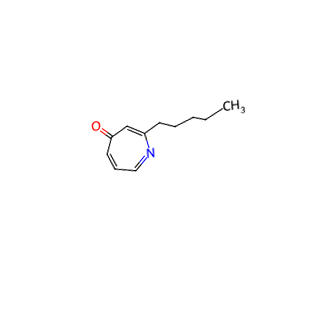 CCCCCc1cc(=O)cccn1